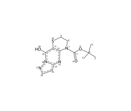 CC(C)(C)OC(=O)N1CCSc2c1nc1ccnn1c2O